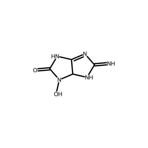 N=C1N=C2NC(=O)N(O)C2N1